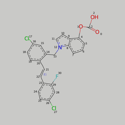 O=C(O)Oc1cccc2c1ccn2Cc1cc(Cl)ccc1/C=C/c1ccc(Cl)cc1F